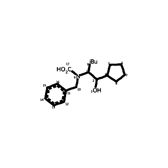 CCC(C)C(C(O)C1CCCC1)N(Cc1ccccc1)C(=O)O